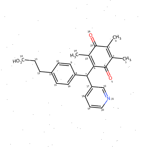 CC1=C(C)C(=O)C(C(c2ccc(CCC(=O)O)cc2)c2cccnc2)=C(C)C1=O